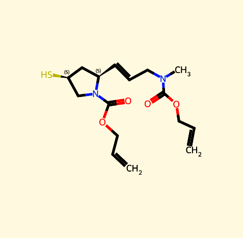 C=CCOC(=O)N(C)CC=C[C@@H]1C[C@H](S)CN1C(=O)OCC=C